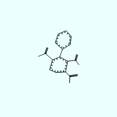 O=C(O)c1ccc(C(=O)O)c(-c2ccccc2)c1C(=O)O